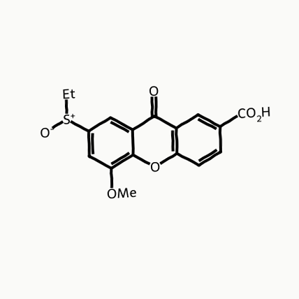 CC[S+]([O-])c1cc(OC)c2oc3ccc(C(=O)O)cc3c(=O)c2c1